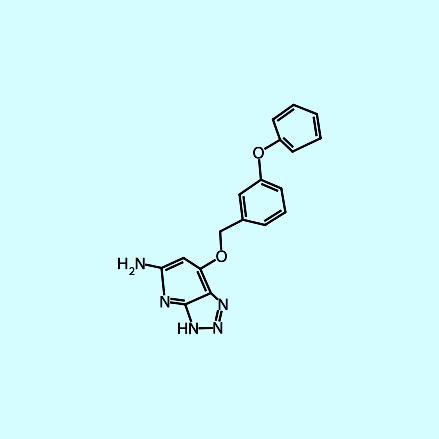 Nc1cc(OCc2cccc(Oc3ccccc3)c2)c2nn[nH]c2n1